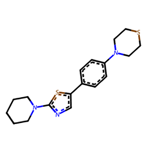 c1cc(N2CCSCC2)ccc1-c1cnc(N2CCCCC2)s1